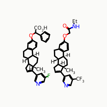 CCNC(=O)COc1ccc2c(c1)CC[C@@H]1[C@@H]2CC[C@]2(C)C(c3cncc(C(F)(F)F)c3)=CC[C@@H]12.C[C@]12CC[C@@H]3c4ccc(OC(C(=O)O)c5ccccc5)cc4CC[C@H]3[C@@H]1CC=C2c1cncc(F)c1